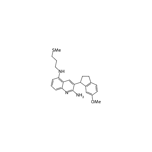 COc1ccc2c(c1)C(c1cc3c(NCCCSC)cccc3nc1N)CC2